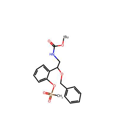 CC(C)(C)OC(=O)NCC(OCc1ccccc1)c1ccccc1OS(C)(=O)=O